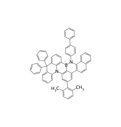 Cc1cccc(C)c1-c1cc2c3c(c1)N1c4ccccc4C(c4ccccc4)(c4ccccc4)c4cccc(c41)B3N(c1ccc(-c3ccccc3)cc1)c1c-2ccc2ccccc12